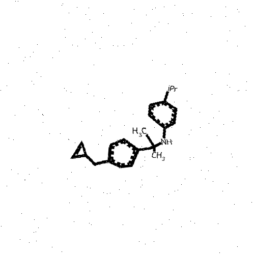 CC(C)c1ccc(NC(C)(C)c2ccc(CC3C=C3)cc2)cc1